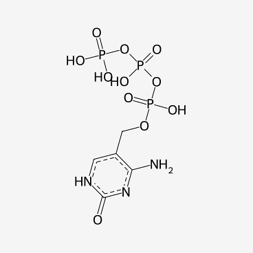 Nc1nc(=O)[nH]cc1COP(=O)(O)OP(=O)(O)OP(=O)(O)O